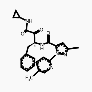 Cc1cc(C(=O)N[C@@H](Cc2ccccc2)C(=O)C(=O)NC2CC2)n(-c2ccc(C(F)(F)F)cn2)n1